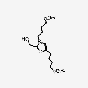 CCCCCCCCCCCCCCC1=CN(CCCCCCCCCCCCCC)C(CO)O1